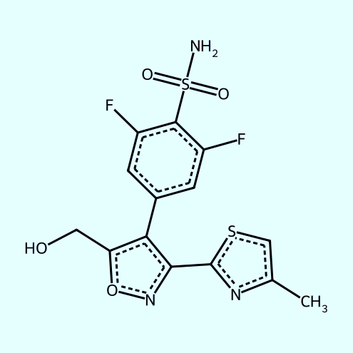 Cc1csc(-c2noc(CO)c2-c2cc(F)c(S(N)(=O)=O)c(F)c2)n1